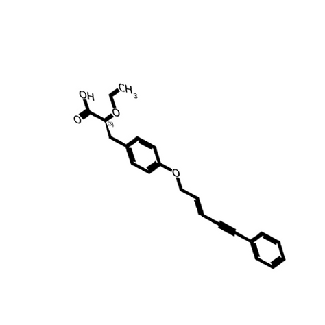 CCO[C@@H](Cc1ccc(OCC=CC#Cc2ccccc2)cc1)C(=O)O